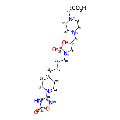 O=C(O)CN1CCN(CC2CN(CCCCC3CCN(c4noc(=O)[nH]4)CC3)C(=O)O2)CC1